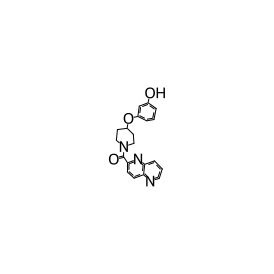 O=C(c1ccc2ncccc2n1)N1CCC(Oc2cccc(O)c2)CC1